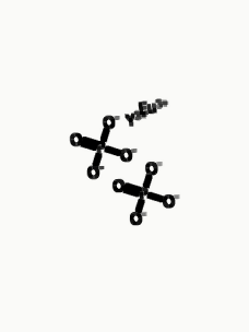 O=P([O-])([O-])[O-].O=P([O-])([O-])[O-].[Eu+3].[Y+3]